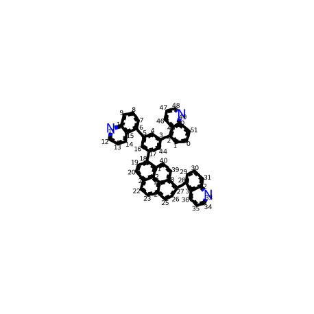 c1cc(-c2cc(-c3cccc4ncccc34)cc(-c3ccc4ccc5ccc(-c6cccc7ncccc67)c6ccc3c4c56)c2)c2cccnc2c1